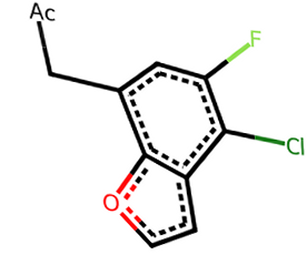 CC(=O)Cc1cc(F)c(Cl)c2ccoc12